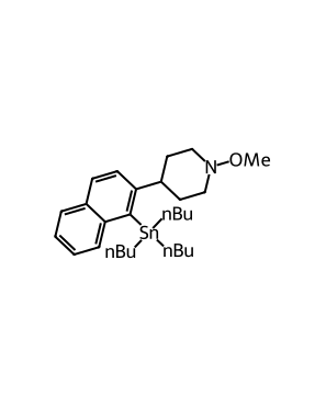 CCC[CH2][Sn]([CH2]CCC)([CH2]CCC)[c]1c(C2CCN(OC)CC2)ccc2ccccc12